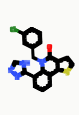 O=c1c2ccsc2c2cccc(-c3nnc[nH]3)c2n1Cc1cccc(Cl)c1